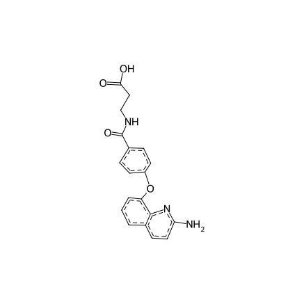 Nc1ccc2cccc(Oc3ccc(C(=O)NCCC(=O)O)cc3)c2n1